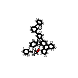 c1ccc(-c2nc3cccc4c3n2-c2cccc3c2[SH]4c2c4c5ccccc5c5ccccc5c4cc4c5ccc(-c6cccc7c6oc6ccccc67)cc5n-3c24)cc1